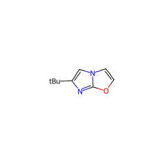 CC(C)(C)c1cn2ccoc2n1